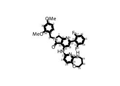 COc1ccc(CN2Cc3nc(-c4c(F)cccc4F)cc(Nc4ccc5c(n4)NCCCO5)c3C2=O)c(OC)c1